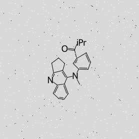 CC(C)C(=O)c1cccc(N(C)c2c3c(nc4ccccc24)CCC3)c1